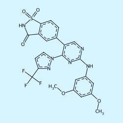 COc1cc(Nc2ncc(-c3ccc4c(c3)C(=O)NS4(=O)=O)c(-n3ccc(C(F)(F)F)n3)n2)cc(OC)c1